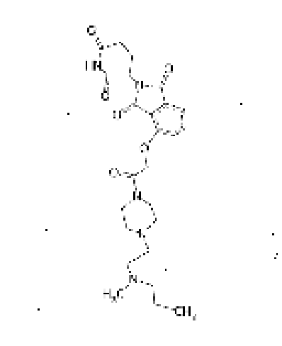 CCCN(C)CCN1CCN(C(=O)COc2cccc3c2C(=O)N(C2CCC(=O)NC2=O)C3=O)CC1